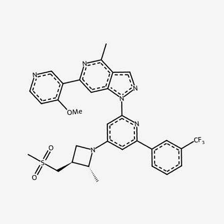 COc1ccncc1-c1cc2c(cnn2-c2cc(N3C[C@H](CS(C)(=O)=O)[C@H]3C)cc(-c3cccc(C(F)(F)F)c3)n2)c(C)n1